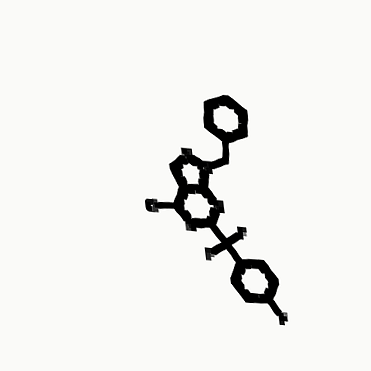 Fc1ccc(C(F)(F)c2nc(Cl)c3cnn(Cc4ccccc4)c3n2)cc1